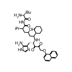 CC[C@H](C)[C@H](N)C(=O)NC(=O)C(CC(O)CC(N[C@@H](Cc1nc[nH]c1N)C(=O)C(=O)COc1cccc2ccccc12)C1CCCCC1)C(C)C